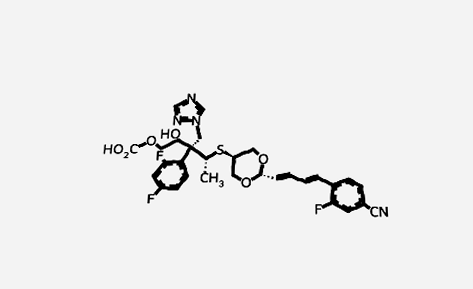 C[C@@H](S[C@H]1CO[C@H](C=CC=Cc2ccc(C#N)cc2F)OC1)[C@@](Cn1cncn1)(c1ccc(F)cc1F)C(O)COC(=O)O